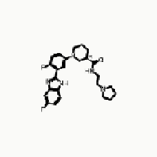 O=C(NCCN1CCCC1)[C@@H]1CCCN(c2ccc(F)c(-c3nc4cc(F)ccc4[nH]3)c2)C1